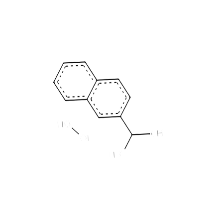 CC(C)c1ccc2ccccc2c1.OO